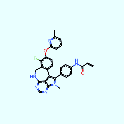 C=CC(=O)Nc1ccc(-c2c3c4c(ncnc4n2C)NCc2c-3ccc(Oc3cccc(C)n3)c2F)cc1